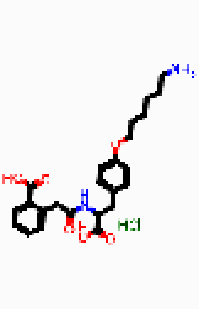 Cl.NCCCCCCOc1ccc(CC(NC(=O)Cc2ccccc2C(=O)O)C(=O)O)cc1